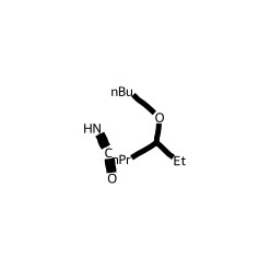 CCCCOC(CC)CCC.N=C=O